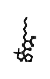 CCCCCCC(OC(=O)N1C(C)(C)COC12CCCC2)C(=O)O